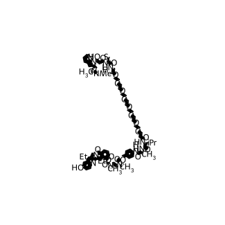 CCc1c2c(nc3ccc(O)cc13)-c1cc3c(c(=O)n1C2)CCC(=O)[C@@]3(CC)OC(=O)N(C)CCN(C)C(=O)OCc1ccc(NC(=O)[C@H](C)NC(=O)[C@@H](NC(=O)CCOCCOCCOCCOCCOCCOCCOCCOCCNC(=O)[C@H](CS(=O)(=O)O)NC(=O)CCn2c(CN(C)NC)cc3cccnc32)C(C)C)cc1